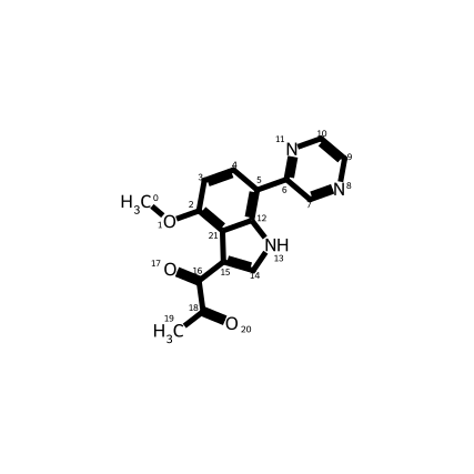 COc1ccc(-c2cnccn2)c2[nH]cc(C(=O)C(C)=O)c12